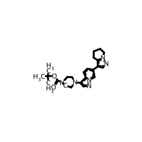 CC(C)(C)OC(=O)N1CCN(c2cnn3cc(-c4cnn5c4CCCC5)ccc23)CC1